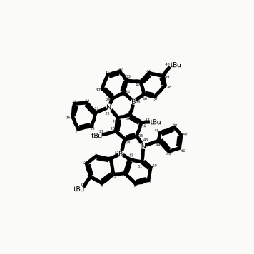 CC(C)(C)c1ccc2c(c1)-c1cccc3c1B2c1c(c(C(C)(C)C)c2c(c1C(C)(C)C)N(c1ccccc1)c1cccc4c1B2c1ccc(C(C)(C)C)cc1-4)N3c1ccccc1